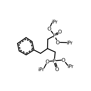 CC(C)OP(=O)(CC(Cc1ccccc1)CP(=O)(OC(C)C)OC(C)C)OC(C)C